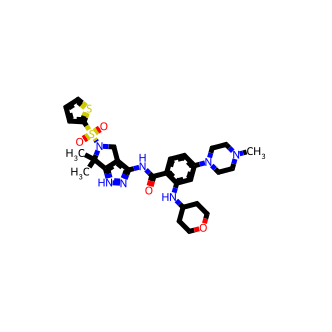 CN1CCN(c2ccc(C(=O)Nc3n[nH]c4c3CN(S(=O)(=O)c3cccs3)C4(C)C)c(NC3CCOCC3)c2)CC1